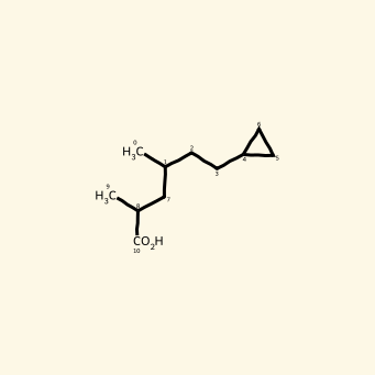 CC(CCC1CC1)CC(C)C(=O)O